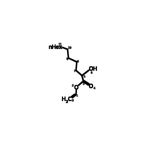 C=COC(=O)C(O)CCCCCCCCCC